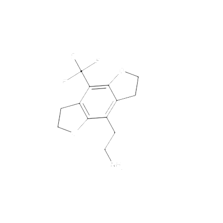 NCCc1c2c(c(C(F)(F)F)c3c1OCC3)OCC2